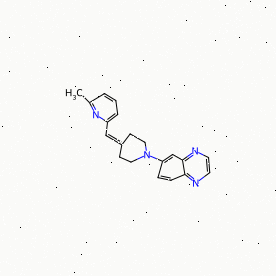 Cc1cccc(C=C2CCN(c3ccc4nccnc4c3)CC2)n1